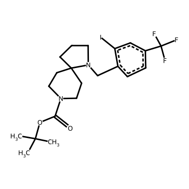 CC(C)(C)OC(=O)N1CCC2(CCCN2Cc2ccc(C(F)(F)F)cc2I)CC1